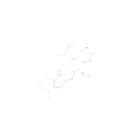 C[C@H](c1n[nH]c(=O)c2cc(F)c(F)cc12)N(C)C(=O)c1cc2c(F)cccc2[nH]1